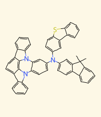 CC1(C)c2ccccc2-c2ccc(N(c3ccc4sc5ccccc5c4c3)c3ccc4c(c3)n3c5ccccc5c5ccc6c7ccccc7n4c6c53)cc21